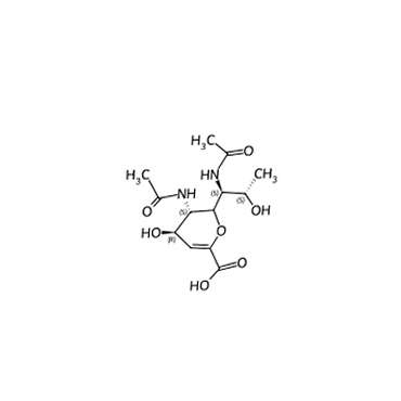 CC(=O)N[C@H](C1OC(C(=O)O)=C[C@@H](O)[C@@H]1NC(C)=O)[C@H](C)O